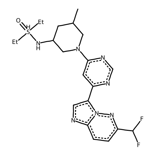 CC[SH](=O)(CC)NC1CC(C)CN(c2cc(-c3cnc4ccc(C(F)F)nn34)ncn2)C1